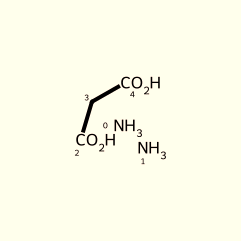 N.N.O=C(O)CC(=O)O